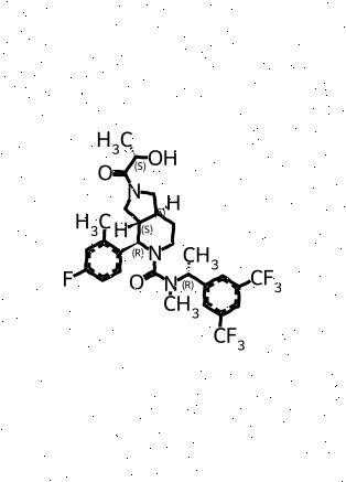 Cc1cc(F)ccc1[C@H]1[C@@H]2CN(C(=O)[C@H](C)O)C[C@H]2CCN1C(=O)N(C)[C@H](C)c1cc(C(F)(F)F)cc(C(F)(F)F)c1